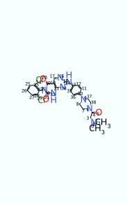 CN(C)CC(=O)N1CCN(c2ccc(Nc3ncc4c(=O)n(-c5c(Cl)cccc5Cl)c(=O)[nH]c4n3)cc2)CC1